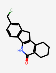 O=c1[nH]c2c(c3c1CCCC3)Cc1cc(CCl)ccc1-2